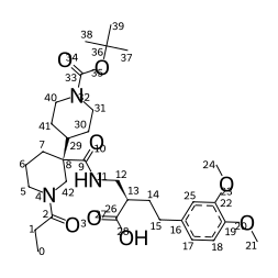 CCC(=O)N1CCC[C@@](C(=O)NC[C@@H](CCc2ccc(OC)c(OC)c2)C(=O)O)(C2CCN(C(=O)OC(C)(C)C)CC2)C1